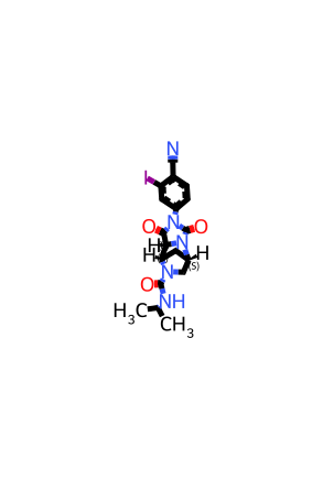 CC(C)NC(=O)N1C[C@@H]2C[C@H]1[C@@H]1C(=O)N(c3ccc(C#N)c(I)c3)C(=O)N21